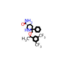 C[C@@H](OCC1(c2ccccc2)CC[C@@H](C(N)=O)CN1)c1cc(C(F)(F)F)cc(C(F)(F)F)c1